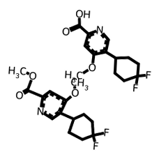 COC(=O)c1cc(OC)c(C2CCC(F)(F)CC2)cn1.COc1cc(C(=O)O)ncc1C1CCC(F)(F)CC1